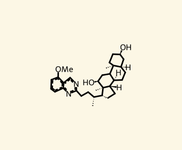 COc1cccc2nc(CC[C@@H](C)[C@H]3CC[C@H]4[C@@H]5CC[C@@H]6C[C@H](O)CC[C@]6(C)C5C[C@H](O)[C@]34C)ncc12